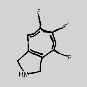 Fc1cc2c(c(F)c1F)CNC2